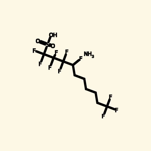 N.O=S(=O)(O)C(F)(F)C(F)(F)C(F)(F)C(F)CCCCCC(F)(F)F